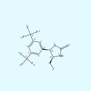 CC[C@@H]1NC(=O)O[C@@H]1c1cc(C(F)(F)F)cc(C(F)(F)F)c1